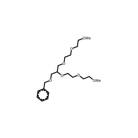 COCCOCCOCC(COCc1ccccc1)OCCOCCOC